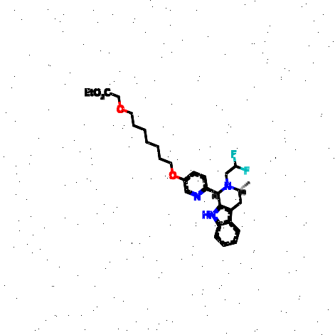 CCOC(=O)COCCCCCCCOc1ccc([C@@H]2c3[nH]c4ccccc4c3C[C@@H](C)N2CC(F)F)nc1